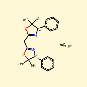 CCCC1(CCC)OC(CC2=N[C@H](c3ccccc3)C(CCC)(CCC)O2)=N[C@@H]1c1ccccc1.[Br-].[Br-].[Ni+2]